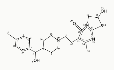 Cc1ccc(C(O)C2CCN(CCc3c(C)nc4n(c3=O)CC(O)S4)CC2)cc1